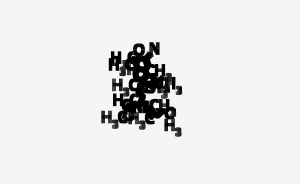 CCCC(C)(C)CC[C@@](C)(CCC(C)(C)[C@]1(C)CC[C@H]2C(C)(C)C(=O)C(C#N)=C[C@]2(C)[C@H]1CC(C)=O)NC(=O)OC